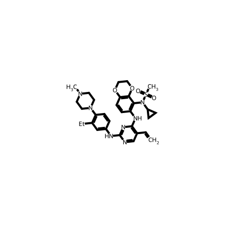 C=Cc1cnc(Nc2ccc(N3CCN(C)CC3)c(CC)c2)nc1Nc1ccc2c(c1N(C1CC1)S(C)(=O)=O)OCCO2